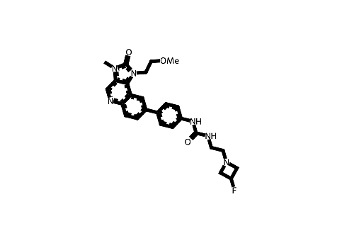 COCCn1c(=O)n(C)c2cnc3ccc(-c4ccc(NC(=O)NCCN5CC(F)C5)cc4)cc3c21